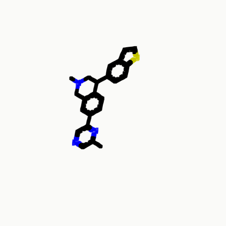 Cc1cncc(-c2ccc3c(c2)CN(C)CC3c2ccc3sccc3c2)n1